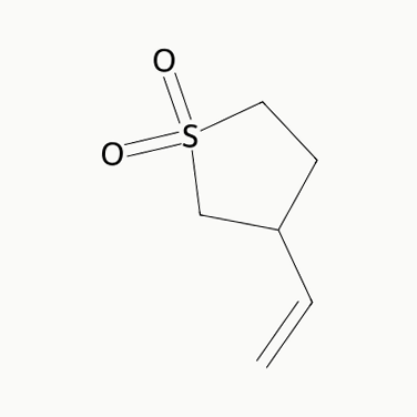 C=CC1CCS(=O)(=O)C1